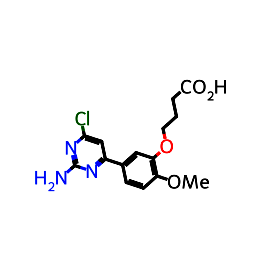 COc1ccc(-c2cc(Cl)nc(N)n2)cc1OCCCC(=O)O